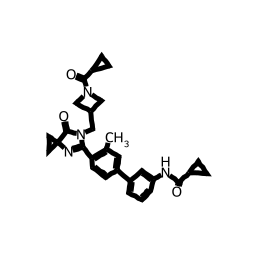 Cc1cc(-c2cccc(NC(=O)C3CC3)c2)ccc1C1=NC2(CC2)C(=O)N1CC1CN(C(=O)C2CC2)C1